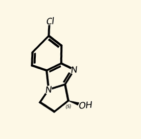 O[C@H]1CCn2c1nc1cc(Cl)ccc12